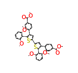 COC(=O)c1ccc(-c2cc(-c3cc(-c4ccc(C(=O)OC)cc4)c(-c4c(OC)cccc4OC)s3)sc2-c2c(OC)cccc2OC)cc1